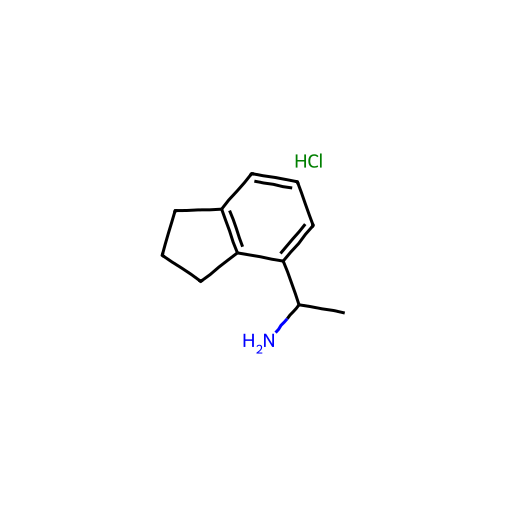 CC(N)c1cccc2c1CCC2.Cl